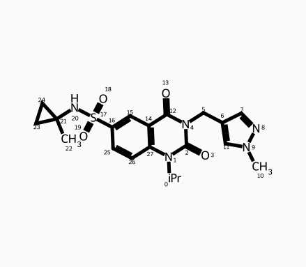 CC(C)n1c(=O)n(Cc2cnn(C)c2)c(=O)c2cc(S(=O)(=O)NC3(C)CC3)ccc21